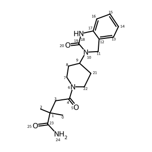 CC(C)(CC(=O)N1CCC(N2Cc3ccccc3NC2=O)CC1)C(N)=O